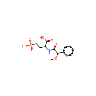 COC(C(=O)N[C@@H](CCS(=O)(=O)O)C(=O)O)c1ccccc1